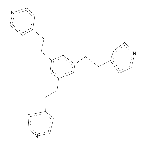 c1cc(CCc2cc(CCc3ccncc3)cc(CCc3ccncc3)c2)ccn1